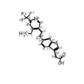 CCc1nc(C(F)(F)F)ncc1COc1ccc2c(CC(=O)O)csc2c1